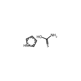 NC(O)=S.c1cc[nH]c1